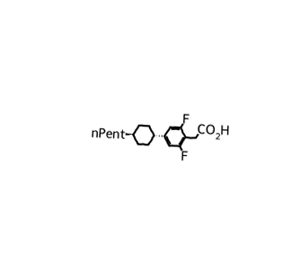 CCCCC[C@H]1CC[C@H](c2cc(F)c(CC(=O)O)c(F)c2)CC1